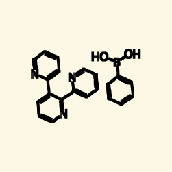 OB(O)c1ccccc1.c1ccc(-c2cccnc2-c2ccccn2)nc1